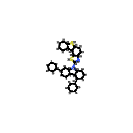 c1ccc(-c2ccc3c4c(-c5ccccc5)cccc4n(-c4nc5ccc6sc7ccccc7c6c5s4)c3c2)cc1